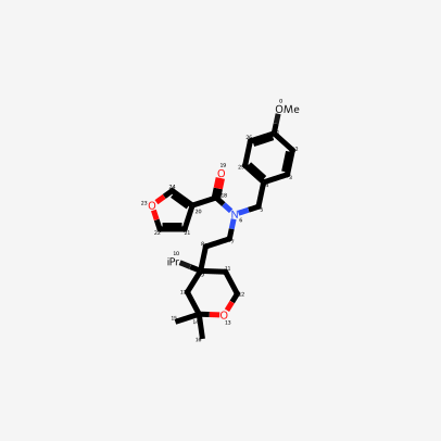 COc1ccc(CN(CCC2(C(C)C)CCOC(C)(C)C2)C(=O)c2ccoc2)cc1